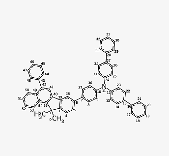 CC1(C)c2ccc(-c3ccc(N(c4ccc(-c5ccccc5)cc4)c4ccc(-c5ccccc5)cc4)cc3)cc2-c2cc(-c3ccccc3)c3ccccc3c21